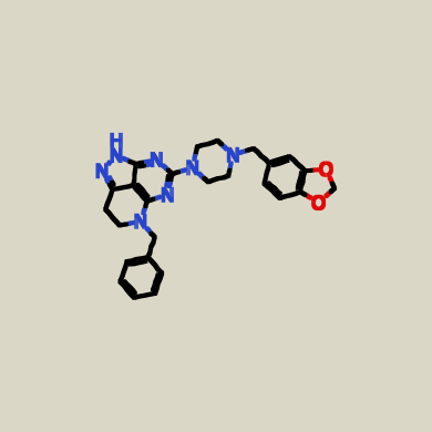 c1ccc(CN2CCc3n[nH]c4nc(N5CCN(Cc6ccc7c(c6)OCO7)CC5)nc2c34)cc1